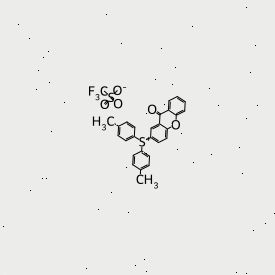 Cc1ccc([S+](c2ccc(C)cc2)c2ccc3oc4ccccc4c(=O)c3c2)cc1.O=S(=O)([O-])C(F)(F)F